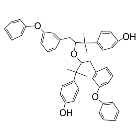 CC(C)(c1ccc(O)cc1)C(Cc1cccc(Oc2ccccc2)c1)OC(Cc1cccc(Oc2ccccc2)c1)C(C)(C)c1ccc(O)cc1